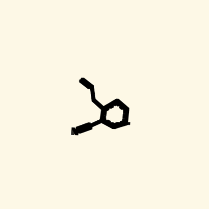 C=CCc1cc[c]cc1C#N